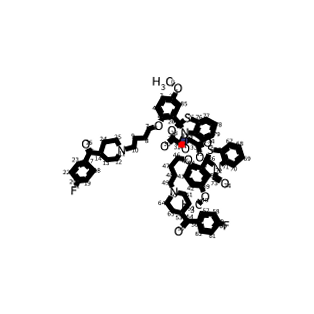 COc1ccc(OCCCCN2CCC(C(=O)c3ccc(F)cc3)CC2)c(C2(OC(=O)/C=C/C(=O)OC3(c4cc(OC)ccc4OCCCCN4CCC(C(=O)c5ccc(F)cc5)CC4)Sc4ccccc4N3C=O)Sc3ccccc3N2C=O)c1